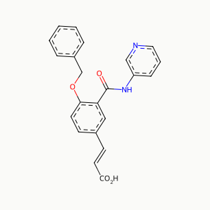 O=C(O)C=Cc1ccc(OCc2ccccc2)c(C(=O)Nc2cccnc2)c1